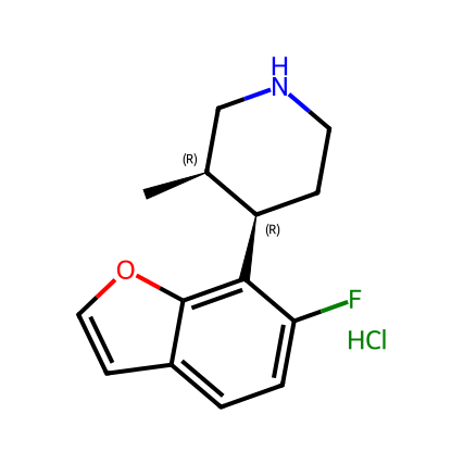 C[C@H]1CNCC[C@H]1c1c(F)ccc2ccoc12.Cl